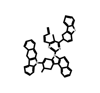 C=C/C=C\c1nc(-n2c3c(c4c5ccccc5ccc42)CC(C)C(n2c4c(c5ccccc52)CC2C=CC=CC2=C4)=C3)nc(C2C=Cc3sc4ccccc4c3C2)c1C